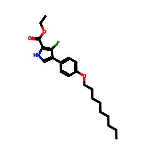 CCCCCCCCCOc1ccc(-c2c[nH]c(C(=O)OCC)c2F)cc1